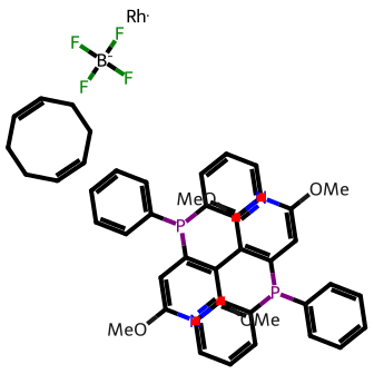 C1=C\CC/C=C\CC/1.COc1cc(P(c2ccccc2)c2ccccc2)c(-c2c(P(c3ccccc3)c3ccccc3)cc(OC)nc2OC)c(OC)n1.F[B-](F)(F)F.[Rh]